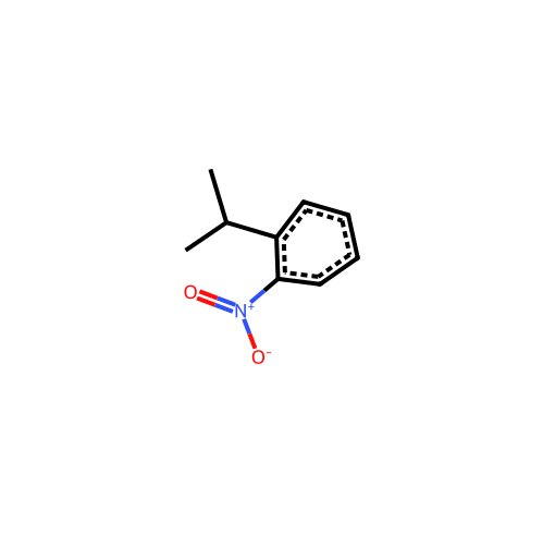 CC(C)c1ccccc1[N+](=O)[O-]